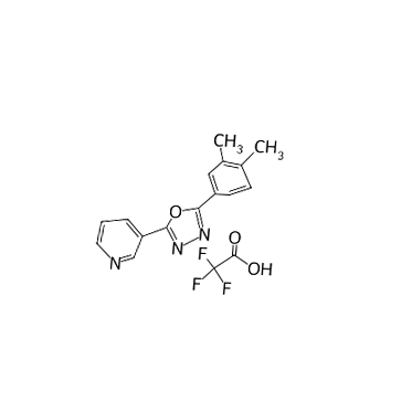 Cc1ccc(-c2nnc(-c3cccnc3)o2)cc1C.O=C(O)C(F)(F)F